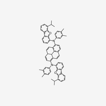 Cc1ccc(N(C2=C3C=Cc4ccc(N(c5ccc(C)c(C)c5)c5cccc6c5oc5c(C(C)C)cccc56)c5c4C3C(C=C2)C=C5)c2cccc3c2oc2c(C(C)C)cccc23)cc1C